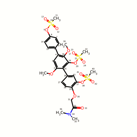 COc1cc(-c2ccc(OS(C)(=O)=O)cc2)c(OC)c(OS(C)(=O)=O)c1-c1ccc(OCC(=O)N(C)C)c(OS(C)(=O)=O)c1